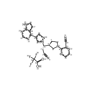 N#CC[C@@H]([C@H]1CCN(c2nccnc2C#N)C1)n1cc(-c2ncnc3[nH]ccc23)cn1.O=C(O)C(F)(F)F